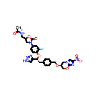 CC(=O)NCC1CN(c2ccc(O[C@@H](Cc3ccc(CO[C@@H]4COc5nc([N+](=O)[O-])cn5C4)cc3)c3c[nH]nn3)c(F)c2)C(=O)O1